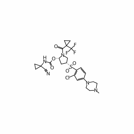 CN1CCN(c2ccc(S(=O)(=O)[C@@H]3C[C@H](OC(=O)NC4(C#N)CC4)N(C(=O)C4(C(F)(F)F)CC4)C3)c(Cl)c2)CC1